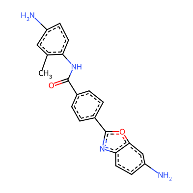 Cc1cc(N)ccc1NC(=O)c1ccc(-c2nc3ccc(N)cc3o2)cc1